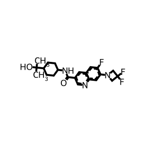 CC(C)(O)C1CCC(NC(=O)c2cnc3cc(N4CC(F)(F)C4)c(F)cc3c2)CC1